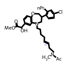 CCCc1cc(Cl)ccc1C1COc2ccc(C(O)C(=O)OC)cc2N(CCCC/C=C/CCN(C)C(C)=O)C1